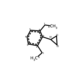 CCc1[c]ccc(CC)c1C1CC1